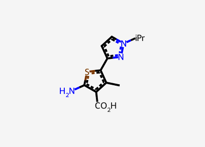 Cc1c(-c2ccn(C(C)C)n2)sc(N)c1C(=O)O